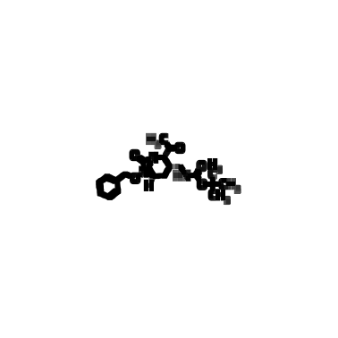 CC(=O)[C@H]1[C@H](CNC(=O)OC(C)(C)C)C[C@@H]2CN1C(=O)N2OCc1ccccc1